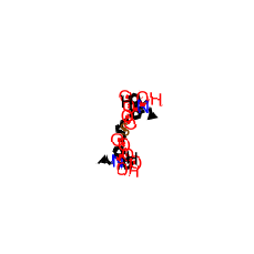 Cc1ccc(OC(=O)Cc2ccc(CC(=O)Oc3ccc(C)c4c3O[C@H]3C(=O)CC[C@@]5(O)[C@@H](C)N(CC6CC6)CC[C@]435)s2)c2c1[C@]13CCN(CC4CC4)[C@H](C)[C@]1(O)CCC(=O)[C@@H]3O2